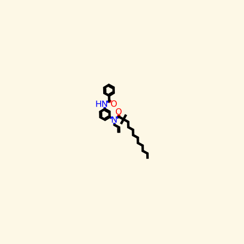 C=CCN(C(=O)C(C)(C)CCCCCCCCCC)c1cccc(NC(=O)c2ccccc2)c1